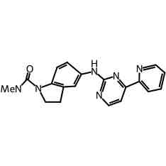 CNC(=O)N1CCc2cc(Nc3nccc(-c4ccccn4)n3)ccc21